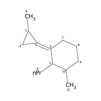 CCCC1C(=C2CC2C)CCCC1C